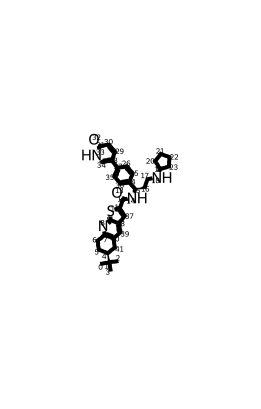 CC(C)(C)[C@H]1CCc2nc3sc(C(=O)N[C@H](CCNC4CCCC4)c4ccc(-c5ccc(=O)[nH]c5)cc4)cc3cc2C1